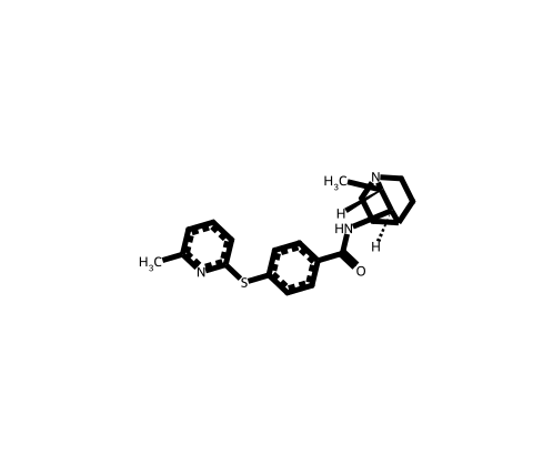 Cc1cccc(Sc2ccc(C(=O)N[C@@H]3C4CCN(CC4)[C@H]3C)cc2)n1